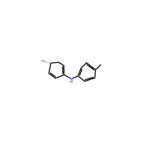 Cc1ccc(NC2=CC[C@@H](C)C=C2)cc1